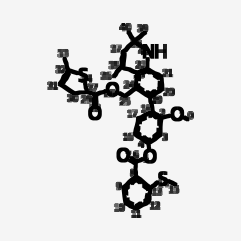 COc1cc(OC(=O)c2ccccc2SC)ccc1-c1ccc2c(c1COC(=O)C1CC=C(C)S1)C(C)=CC(C)(C)N2